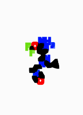 C=C(CCn1cc(-c2cnc(N)c(OC(F)F)c2)nc1CC1CC1)N1CCOCC1